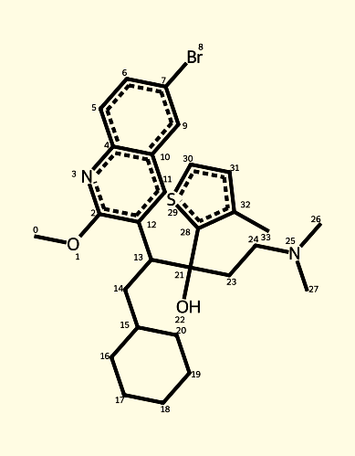 COc1nc2ccc(Br)cc2cc1C(CC1CCCCC1)C(O)(CCN(C)C)c1sccc1C